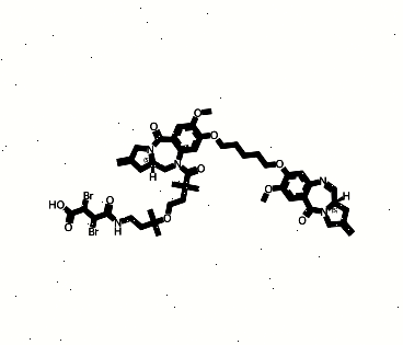 C=C1C[C@H]2CN(C(=O)C(C)(C)CCOC(C)(C)CCNC(=O)C(Br)C(Br)C(=O)O)c3cc(OCCCCCOc4cc5c(cc4OC)C(=O)N4CC(=C)C[C@H]4C=N5)c(OC)cc3C(=O)N2C1